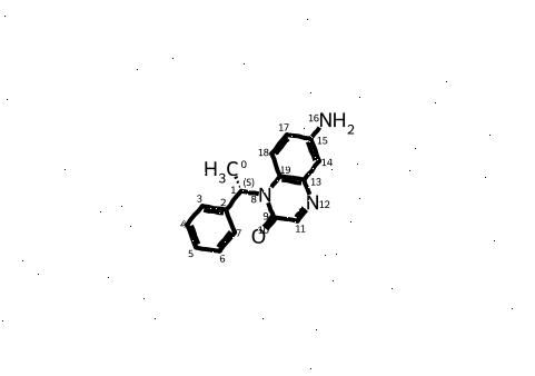 C[C@@H](c1ccccc1)n1c(=O)cnc2cc(N)ccc21